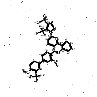 COc1cc(-c2ccc(OC)c(C(F)(F)F)c2)ccc1COc1ccccc1-c1cccc(-n2ncc(C(=O)O)c2C(F)(F)F)n1